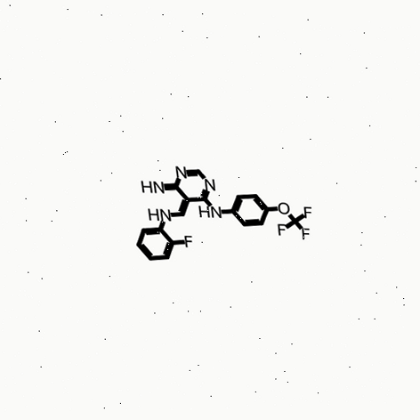 N=C1N=CN=C(Nc2ccc(OC(F)(F)F)cc2)/C1=C/Nc1ccccc1F